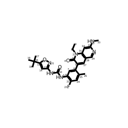 CCn1c(=O)c(-c2cc(NC(=O)Nc3cc(C(C)(C)C)on3)c(F)cc2C)cc2cnc(NC)cc21